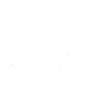 CCCN(CC)C(=O)Cc1ccc(O)cc1